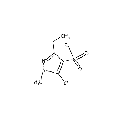 CCc1nn(C)c(Cl)c1S(=O)(=O)Cl